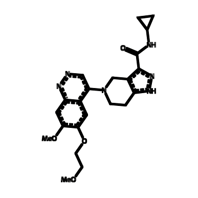 COCCOc1cc2c(N3CCc4[nH]nc(C(=O)NC5CC5)c4C3)cnnc2cc1OC